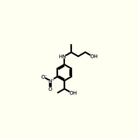 CC(CCO)Nc1ccc(C(C)O)c([N+](=O)[O-])c1